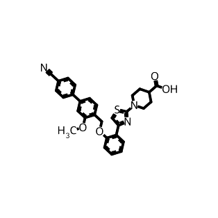 COc1cc(-c2ccc(C#N)cc2)ccc1COc1ccccc1-c1csc(N2CCC(C(=O)O)CC2)n1